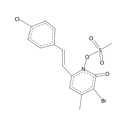 Cc1cc(C=Cc2ccc(Cl)cc2)n(OS(C)(=O)=O)c(=O)c1Br